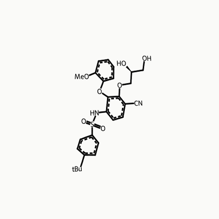 COc1ccccc1Oc1c(NS(=O)(=O)c2ccc(C(C)(C)C)cc2)ccc(C#N)c1OC[C@@H](O)CO